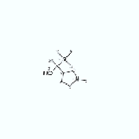 [CH2]C(O)(C1CCN(C)C1)[Si](C)(C)C